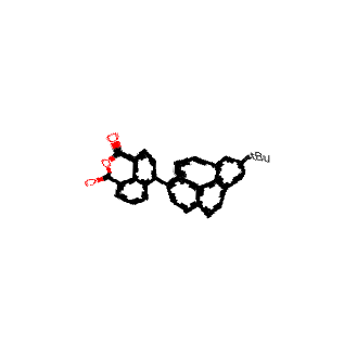 CC(C)(C)c1cc2ccc3ccc(-c4ccc5c6c(cccc46)C(=O)OC5=O)c4ccc(c1)c2c34